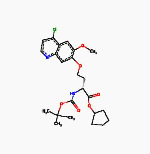 COc1cc2c(Cl)ccnc2cc1OCC[C@@H](NC(=O)OC(C)(C)C)C(=O)OC1CCCC1